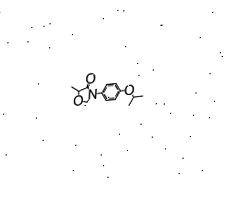 CC(C)Oc1ccc(N2COC(C)C2=O)cc1